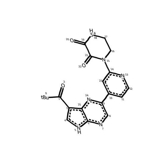 CC(C)(C)C(=O)c1c[nH]c2ncc(-c3ccnc(N4CC[SH4]C(=O)C4=O)c3)nc12